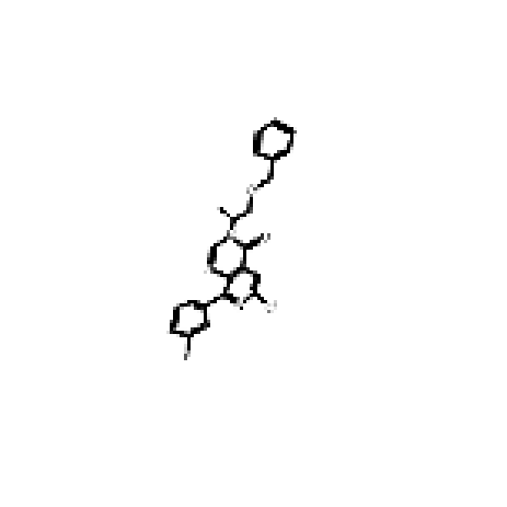 C[C@@H](COCc1ccccc1)n1cnc2c(-c3cccc(F)c3)nc(Cl)cc2c1=O